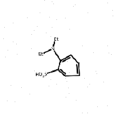 CCN(CC)c1ccccc1S(=O)(=O)O